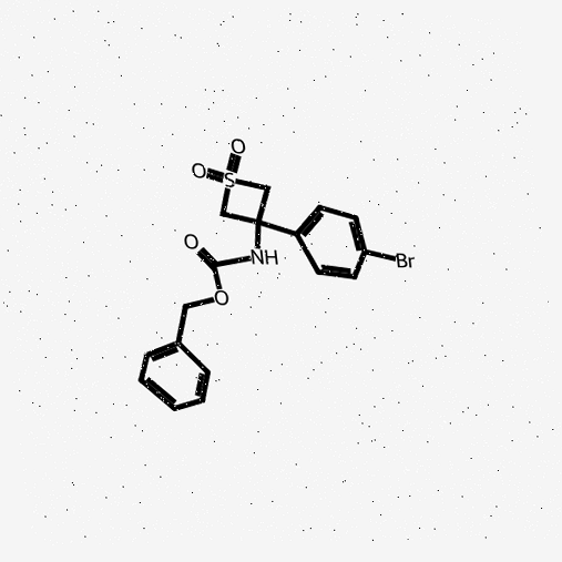 O=C(NC1(c2ccc(Br)cc2)CS(=O)(=O)C1)OCc1ccccc1